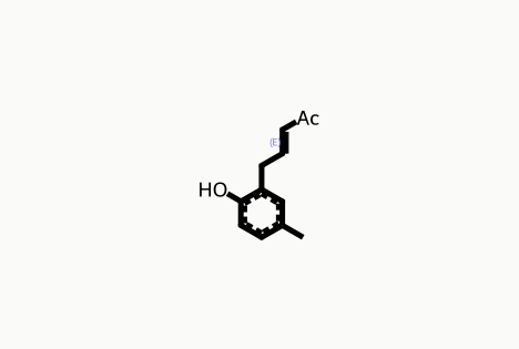 CC(=O)/C=C/Cc1cc(C)ccc1O